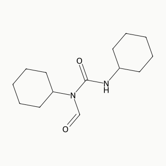 O=CN(C(=O)NC1CCCCC1)C1CCCCC1